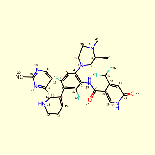 C[C@H]1CN(c2cc(F)c(C3=CCCN[C@@H]3c3ccnc(C#N)n3)c(F)c2NC(=O)c2c[nH]c(=O)cc2C(F)F)CCN1C